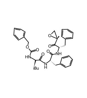 CC[C@H](C)C(NC(=O)OCc1ccccc1)C(=O)N[C@@H](Cc1ccccc1)C(=O)N[C@@H](Cc1ccccc1)C(=O)[C@@]1(C)CO1